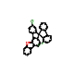 Clc1ccc2c(c1)C1(c3ccccc3-c3cccc(Br)c31)c1ccc3c(oc4ccccc43)c1-2